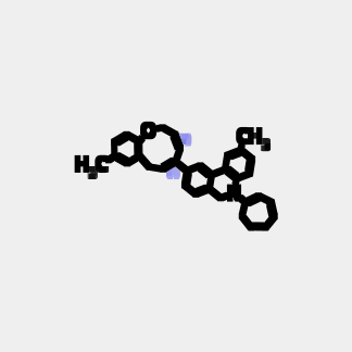 Cc1ccc2c(c1)C/C=C(c1ccc3c(c1)-c1cc(C)ccc1N(C1=CC=CC=CC1)C3)\C=C/CO2